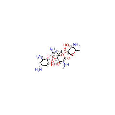 CNC1C(O[C@H]2OC(C)[C@@H](N)[C@H](O)C2O)O[C@H]2CC(N)[C@@H](O[C@@H]3C(N)C[C@@H](N)C[C@H]3O)OC2C1O